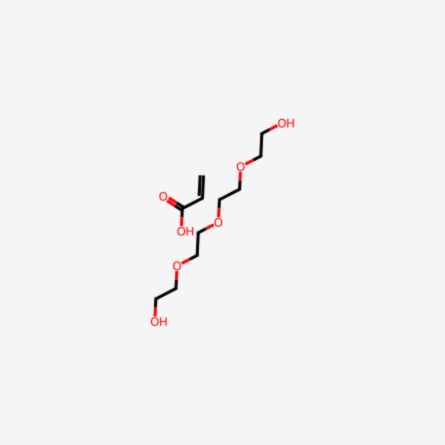 C=CC(=O)O.OCCOCCOCCOCCO